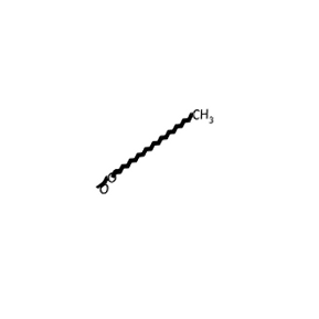 CCCCCCCCCCCCCCCCCCCCC=COCC1CO1